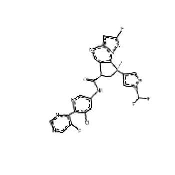 C[C@]1(c2cnn(C(F)F)c2)C[C@@H](C(=O)Nc2cnc(-c3ncncc3F)c(Cl)c2)c2cnc3cc(F)nn3c21